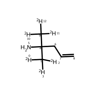 [2H]C([2H])([2H])C(N)(CC=C)C([2H])([2H])[2H]